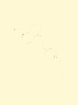 CCCCN1CCN(CCN2CCCC(C(=O)O)C2CC)CC1